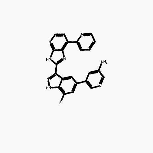 Nc1cncc(-c2cc(F)c3[nH]nc(-c4nc5c(-c6ccccn6)ccnc5[nH]4)c3c2)c1